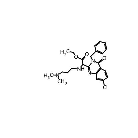 CCOC(=O)C(NCCCN(C)C)c1nc2cc(Cl)ccc2c(=O)n1Cc1ccccc1